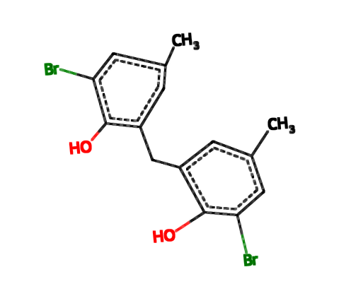 Cc1cc(Br)c(O)c(Cc2cc(C)cc(Br)c2O)c1